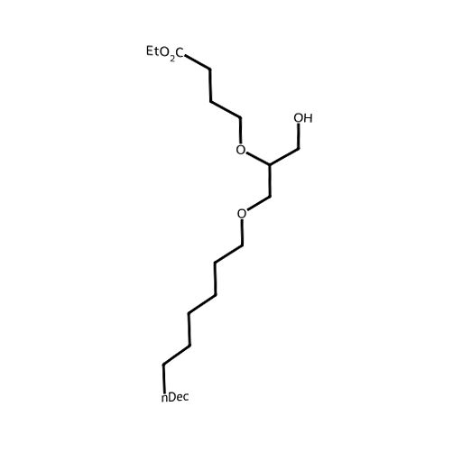 CCCCCCCCCCCCCCCCOCC(CO)OCCCC(=O)OCC